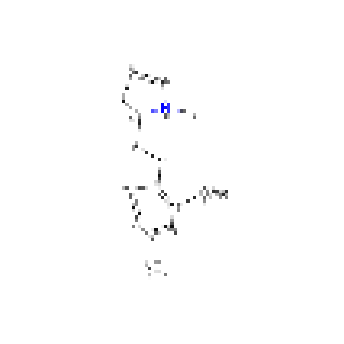 COc1cc([N+](=O)[O-])ccc1CCC1CC=CN1C